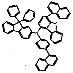 c1ccc(C2(c3ccccc3)c3ccccc3-c3ccc(N(c4ccc(-c5cccc6ccccc56)cc4)c4ccc(-c5cccc6ccccc56)c5sc6ccccc6c45)cc32)cc1